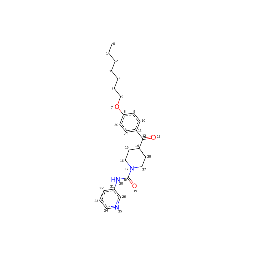 CCCCCCCOc1ccc(C(=O)C2CCN(C(=O)Nc3cccnc3)CC2)cc1